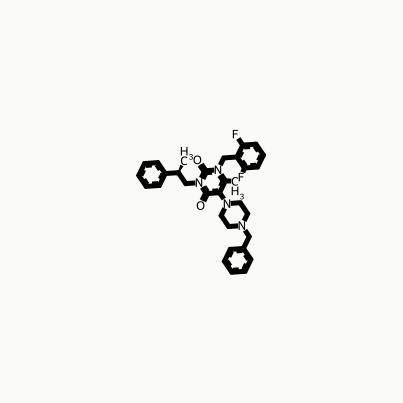 Cc1c(N2CCN(Cc3ccccc3)CC2)c(=O)n(C[C@H](C)c2ccccc2)c(=O)n1Cc1c(F)cccc1F